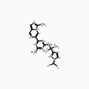 Cc1ncc2cnc(-c3nc(N)nc(NC(C)(C)c4ccn(C(F)F)n4)n3)cn12